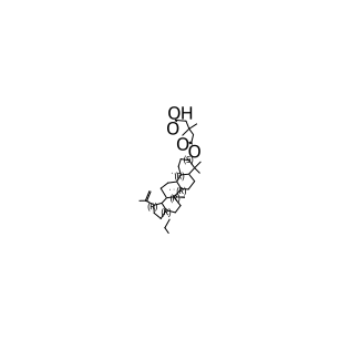 C=C(C)[C@@H]1CC[C@]2(CCC)CC[C@]3(C)C(CCC4[C@@]5(C)CC[C@H](OC(=O)CC(C)(C)CC(=O)O)C(C)(C)C5CC[C@]43C)C12